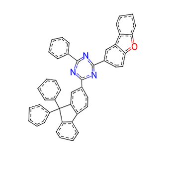 c1ccc(-c2nc(-c3ccc4c(c3)C(c3ccccc3)(c3ccccc3)c3ccccc3-4)nc(-c3ccc4oc5ccccc5c4c3)n2)cc1